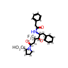 O=C(Cc1ccccc1)NC(Cc1ccccc1)C(=O)C(CC(=O)N1CCC[C@H]1C(=O)O)C(F)(F)F